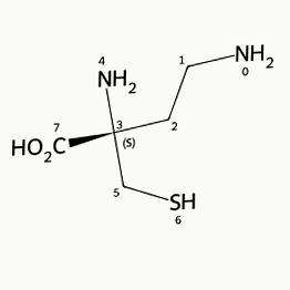 NCC[C@@](N)(CS)C(=O)O